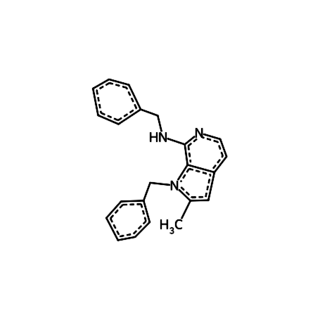 Cc1cc2ccnc(NCc3ccccc3)c2n1Cc1ccccc1